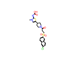 Cn1cc(C2CCN(C(=O)CCS(=O)(=O)c3ccc4cc(Cl)ccc4c3)CC2)sc1=NC(=O)O